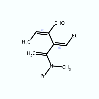 C=C(C(=C/CC)/C(C=O)=C\C)N(C)C(C)C